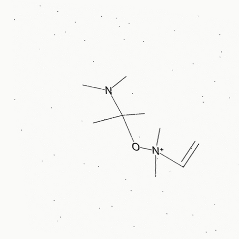 C=C[N+](C)(C)OC(C)(C)N(C)C